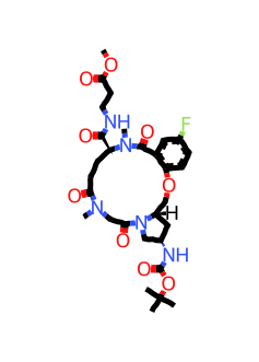 COC(=O)CCNC(=O)[C@@H]1CCC(=O)N(C)CC(=O)N2C[C@@H](NC(=O)OC(C)(C)C)C[C@H]2COc2ccc(F)cc2C(=O)N1C